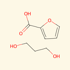 O=C(O)c1ccco1.OCCCO